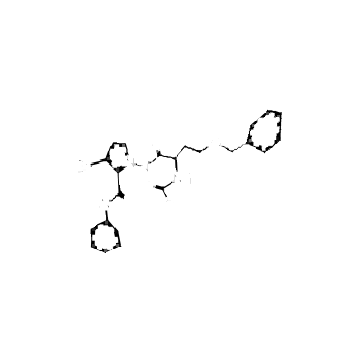 O=C(O)NC(CCOCc1ccccc1)C(=O)Nn1ccc(Br)c1C(=O)Nc1ccccc1